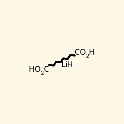 O=C(O)CCCCCCCCC(=O)O.[LiH]